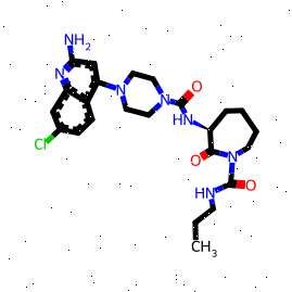 CCCNC(=O)N1CCCC[C@H](NC(=O)N2CCN(c3cc(N)nc4cc(Cl)ccc34)CC2)C1=O